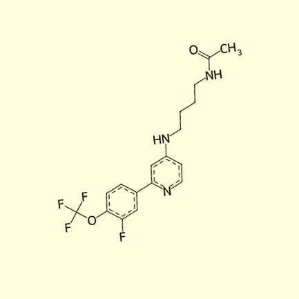 CC(=O)NCCCCNc1ccnc(-c2ccc(OC(F)(F)F)c(F)c2)c1